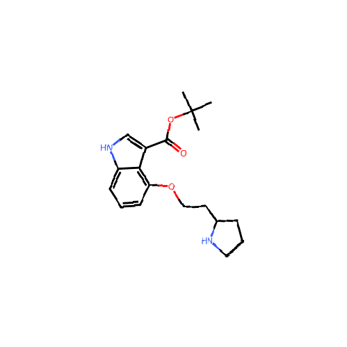 CC(C)(C)OC(=O)c1c[nH]c2cccc(OCCC3CCCN3)c12